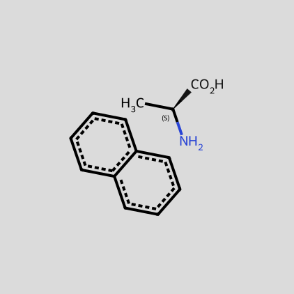 C[C@H](N)C(=O)O.c1ccc2ccccc2c1